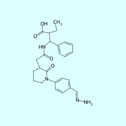 CCC(C(=O)O)C(NC(=O)CC1CCCN(c2ccc(C=NN)cc2)C1=O)c1ccccc1